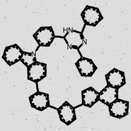 c1ccc(C2=NC(c3cccc(-n4c5ccccc5c5cc(-c6cccc(-c7cccc(-c8ccc9c%10ccccc%10c%10ccccc%10c9c8)c7)c6)ccc54)c3)NC(c3ccccc3)=N2)cc1